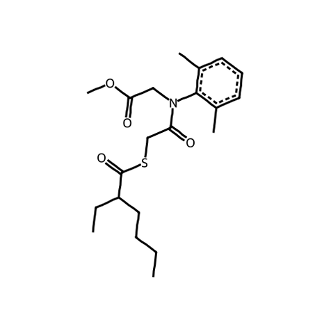 CCCCC(CC)C(=O)SCC(=O)N(CC(=O)OC)c1c(C)cccc1C